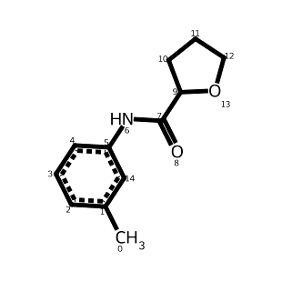 Cc1cccc(NC(=O)C2CCCO2)c1